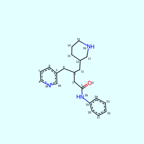 O=C(CC(Cc1cccnc1)CC1CCCNC1)Nc1ccccc1